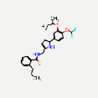 CCCc1ccccc1C(=O)NCC1=CCC(c2ccc(OC(F)F)c(OC(C)C)c2)N1